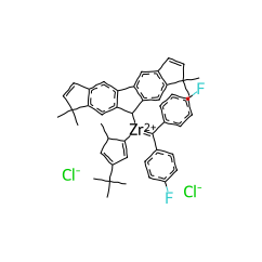 CC1C=C(C(C)(C)C)C=[C]1[Zr+2](=[C](c1ccc(F)cc1)c1ccc(F)cc1)[CH]1c2cc3c(cc2-c2cc4c(cc21)C(C)(C)C=C4)C=CC3(C)C.[Cl-].[Cl-]